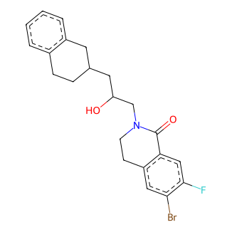 O=C1c2cc(F)c(Br)cc2CCN1CC(O)CC1CCc2ccccc2C1